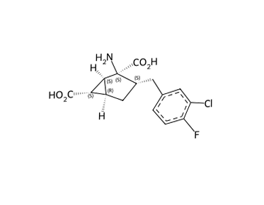 N[C@@]1(C(=O)O)[C@H](Cc2ccc(F)c(Cl)c2)C[C@H]2[C@H](C(=O)O)[C@H]21